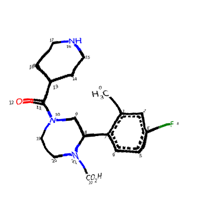 Cc1cc(F)ccc1C1CN(C(=O)C2CCNCC2)CCN1C(=O)O